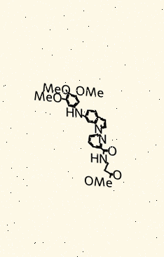 COC(=O)CCNC(=O)c1cccc(-n2ccc3ccc(Nc4cc(OC)c(OC)c(OC)c4)cc32)n1